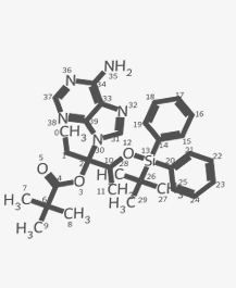 CCC(OC(=O)C(C)(C)C)(C(C)O[Si](c1ccccc1)(c1ccccc1)C(C)(C)C)n1cnc2c(N)ncnc21